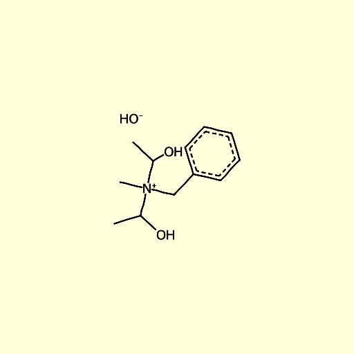 CC(O)[N+](C)(Cc1ccccc1)C(C)O.[OH-]